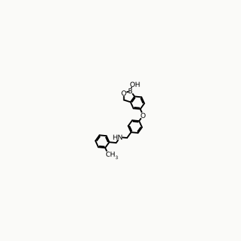 Cc1ccccc1CNCc1ccc(Oc2ccc3c(c2)COB3O)cc1